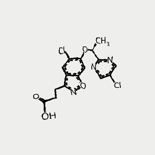 C[C@H](Oc1cc2onc(CCC(=O)O)c2cc1Cl)c1ncc(Cl)cn1